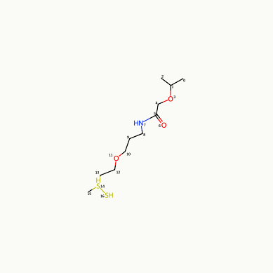 CC(C)OCC(=O)NCCCOCC[SH](C)S